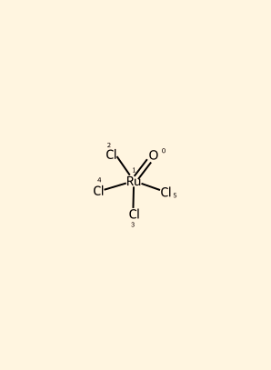 [O]=[Ru]([Cl])([Cl])([Cl])[Cl]